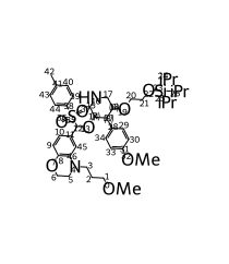 COCCCN1CCOc2ccc(C(O[C@H]3CNC[C@@H](OCCO[Si](C(C)C)(C(C)C)C(C)C)[C@H]3c3ccc(OC)cc3)S(=O)(=O)c3ccc(C)cc3)cc21